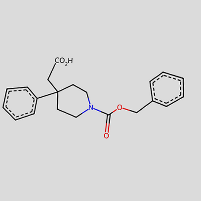 O=C(O)CC1(c2ccccc2)CCN(C(=O)OCc2ccccc2)CC1